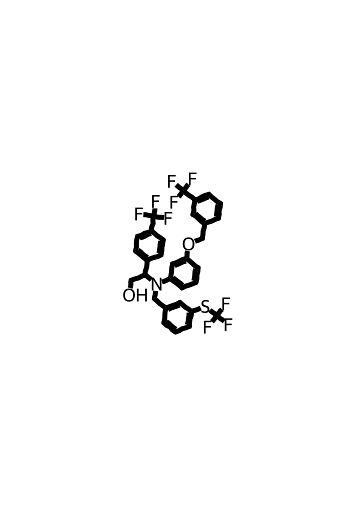 OCC(c1ccc(C(F)(F)F)cc1)N(Cc1cccc(SC(F)(F)F)c1)c1cccc(OCc2cccc(C(F)(F)F)c2)c1